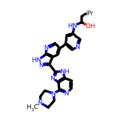 CC(C)CC(O)Nc1cncc(-c2cnc3[nH]nc(-c4nc5c(N6CCN(C)CC6)nccc5[nH]4)c3c2)c1